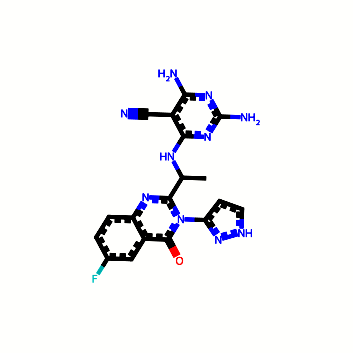 CC(Nc1nc(N)nc(N)c1C#N)c1nc2ccc(F)cc2c(=O)n1-c1cc[nH]n1